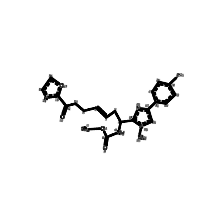 CC(C)(C)OC(=O)NC(CC=CCCC(=O)c1ncco1)c1nc(-c2ccc(F)cc2)cn1C(C)(C)C